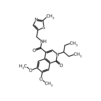 CCC(CC)n1cc(C(=O)NCc2cnc(C)s2)c2cc(OC)c(OC)cc2c1=O